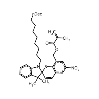 C=C(C)C(=O)OCc1cc([N+](=O)[O-])cc2c1SC1(C=C2)N(CCCCCCCCCCCCCCCCCC)c2ccccc2C1(C)C